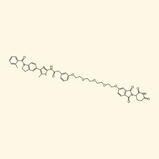 Cc1ccccc1C(=O)N1CCc2cc(-c3nc(NC(=O)Cc4cccc(OCCOCCOCCOCCOc5ccc6c(c5)C(=O)N(C5CCC(=O)NC5=O)C6=O)c4)sc3C)ccc21